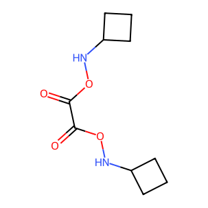 O=C(ONC1CCC1)C(=O)ONC1CCC1